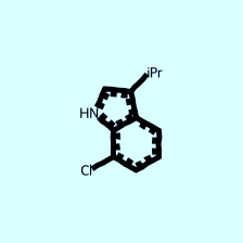 CC(C)c1c[nH]c2c(Cl)cccc12